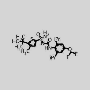 Cc1cc(S(N)(=O)=NC(=O)Nc2c(C(C)C)cc(OC(F)F)cc2C(C)C)sc1C(C)(C)O